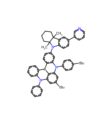 CC(C)(C)c1ccc(N2c3cc(N4c5ccc(-c6cccnc6)cc5C5(C)CCCCC45C)ccc3B3c4ccccc4N(c4ccccc4)c4cc(C(C)(C)C)cc2c43)cc1